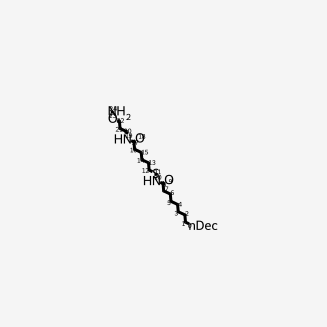 CCCCCCCCCCCCCCCCCC(=O)NSCCCCCC(=O)NCCCON